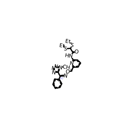 CCSC(SCC)C(=O)Nc1cccc(CO/N=C(/c2ccccc2)c2nnnn2C)n1